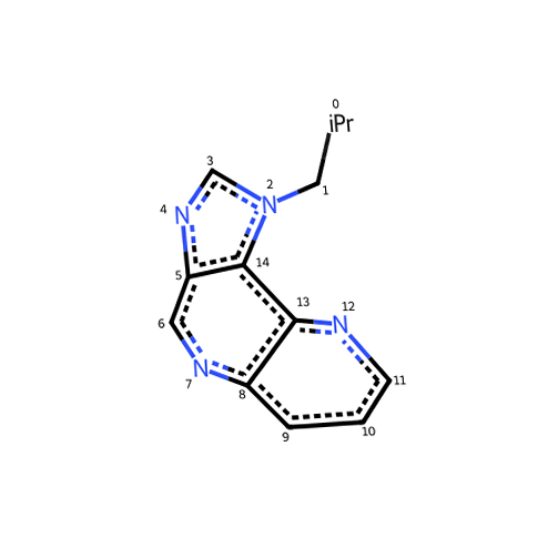 CC(C)Cn1cnc2cnc3cccnc3c21